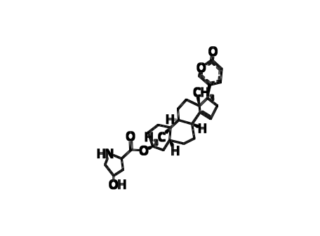 C[C@]12CC[C@H](OC(=O)C3CC(O)CN3)C[C@H]1CC[C@H]1C3=CC[C@H](c4ccc(=O)oc4)[C@@]3(C)CC[C@@H]12